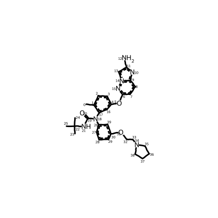 Cc1ccc(Oc2ccc3nc(N)cn3n2)cc1N(C(=O)NC(C)(C)C)c1cccc(OCCN2CCCC2)c1